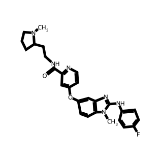 CN1CCCC1CCNC(=O)c1cc(Oc2ccc3c(c2)nc(Nc2ccc(F)cc2)n3C)ccn1